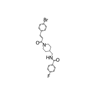 O=C(NCC1CCN(C(=O)/C=C/c2ccc(Br)cc2)CC1)c1ccc(F)cc1